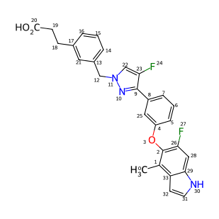 Cc1c(Oc2cccc(-c3nn(Cc4cccc(CCC(=O)O)c4)cc3F)c2)c(F)cc2[nH]ccc12